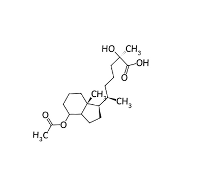 CC(=O)OC1CCC[C@@]2(C)C1CC[C@@H]2[C@H](C)CCC[C@@](C)(O)C(=O)O